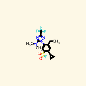 CCc1cc(C2CC2)c(S(=O)(=O)F)cc1-n1nc(C(F)(F)F)nc1N(C)C